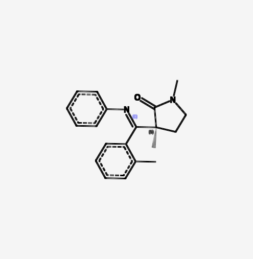 Cc1ccccc1/C(=N\c1ccccc1)[C@]1(C)CCN(C)C1=O